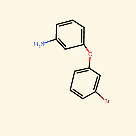 Nc1cccc(Oc2cccc(Br)c2)c1